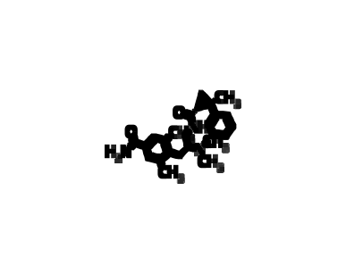 Cc1cc(C(N)=O)cc(C)c1C[C@@H](CNC(=O)[C@@H]1C[C@@]1(C)c1ccccc1)N(C)C